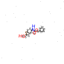 O=C(NC1CCc2sc(CO)cc2C1)OCc1ccccc1